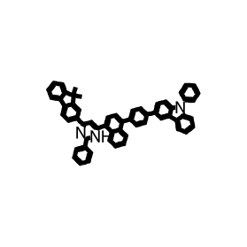 CC1(C)c2ccccc2-c2ccc(C3=NC(c4ccccc4)NC(c4ccc(-c5ccc(-c6ccc7c(c6)c6ccccc6n7-c6ccccc6)cc5)c5ccccc45)=C3)cc21